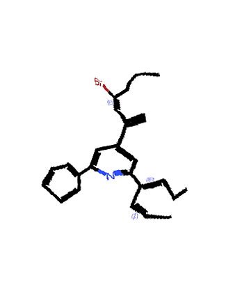 C=C(/C=C(/Br)CCC)c1cc(C(/C=C\C)=C/CC)nc(-c2ccccc2)c1